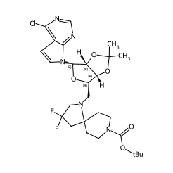 CC(C)(C)OC(=O)N1CCC2(CC1)CC(F)(F)CN2C[C@H]1O[C@@H](n2ccc3c(Cl)ncnc32)[C@@H]2OC(C)(C)O[C@@H]21